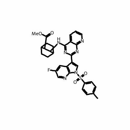 COC(=O)C1C2CCC(CC2)C1Nc1nc(-c2cn(S(=O)(=O)c3ccc(C)cc3)c3ncc(F)cc23)nc2ncccc12